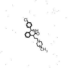 CN1CCN(CCC2C(=O)NC(c3ccc(Cl)cc3)c3ccccc32)CC1